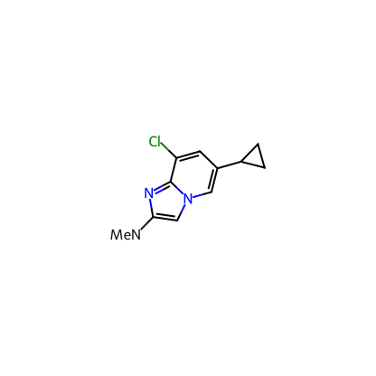 CNc1cn2cc(C3CC3)cc(Cl)c2n1